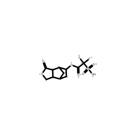 O=C1OCC2C3CC(OC(=O)C(F)(F)S(=O)(=O)O)C(C3)C12